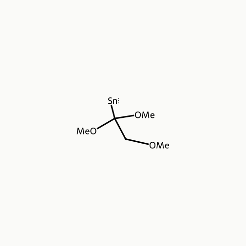 COC[C]([Sn])(OC)OC